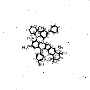 Cc1cc2c3c(c1)N1c4c(cc(-c5ccccc5)cc4C4(C)CCCCC14C)B3c1sc3cc4c(cc3c1N2c1ccc(C(C)(C)C)cc1)C(C)(C)CCC4(C)C